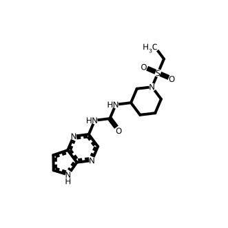 CCS(=O)(=O)N1CCCC(NC(=O)Nc2cnc3[nH]ccc3n2)C1